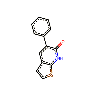 O=c1[nH]c2sccc2cc1-c1ccccc1